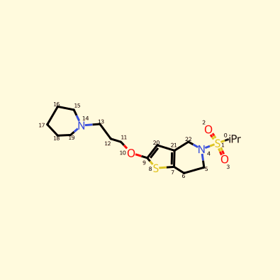 CC(C)S(=O)(=O)N1CCc2sc(OCCCN3CCCCC3)cc2C1